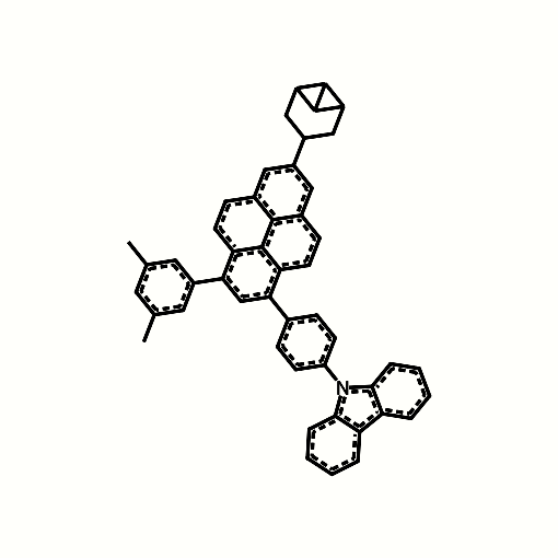 Cc1cc(C)cc(-c2cc(-c3ccc(-n4c5ccccc5c5ccccc54)cc3)c3ccc4cc(C5CC6C7C(C5)C67)cc5ccc2c3c45)c1